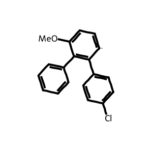 COc1cc[c]c(-c2ccc(Cl)cc2)c1-c1ccccc1